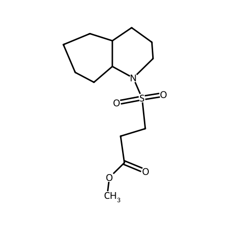 COC(=O)CCS(=O)(=O)N1CCCC2CCCCC21